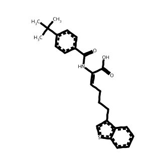 CC(C)(C)c1ccc(C(=O)N/C(=C/CCCc2csc3ccccc23)C(=O)O)cc1